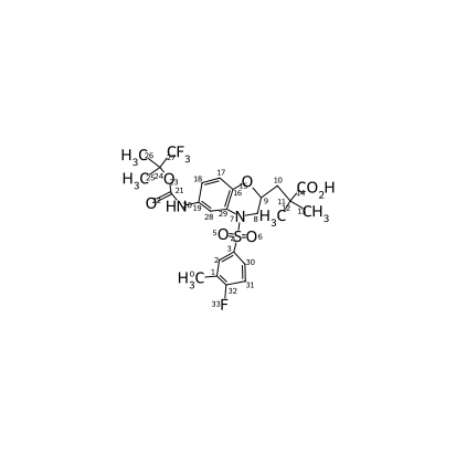 Cc1cc(S(=O)(=O)N2CC(CC(C)(C)C(=O)O)Oc3ccc(NC(=O)OC(C)(C)C(F)(F)F)cc32)ccc1F